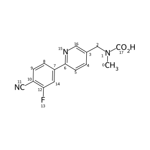 CN(Cc1ccc(-c2ccc(C#N)c(F)c2)nc1)C(=O)O